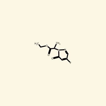 CCOC(=O)C(C)n1ncc(F)cc1=O